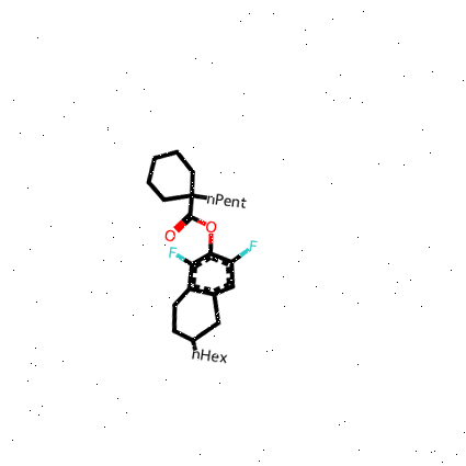 CCCCCCC1CCc2c(cc(F)c(OC(=O)C3(CCCCC)CCCCC3)c2F)C1